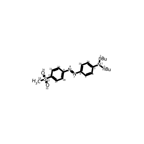 CCCCN(CCCC)c1ccc(N=Nc2ccc(S(C)(=O)=O)cc2)cc1